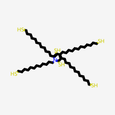 SCCCCCCCCCCCCC1=C(CCCCCCCCCCCCS)C(S)N(CCCCCCCCCCCCS)C(CCCCCCCCCCCCS)=C1S